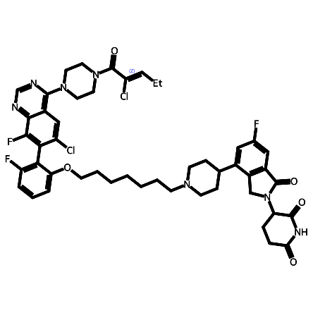 CC/C=C(\Cl)C(=O)N1CCN(c2ncnc3c(F)c(-c4c(F)cccc4OCCCCCCCN4CCC(c5cc(F)cc6c5CN(C5CCC(=O)NC5=O)C6=O)CC4)c(Cl)cc23)CC1